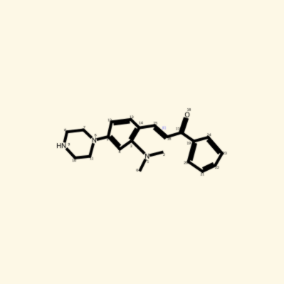 CN(C)c1cc(N2CCNCC2)ccc1/C=C/C(=O)c1ccccc1